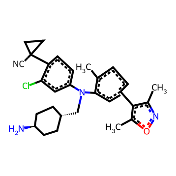 Cc1ccc(-c2c(C)noc2C)cc1N(C[C@H]1CC[C@H](N)CC1)c1ccc(C2(C#N)CC2)c(Cl)c1